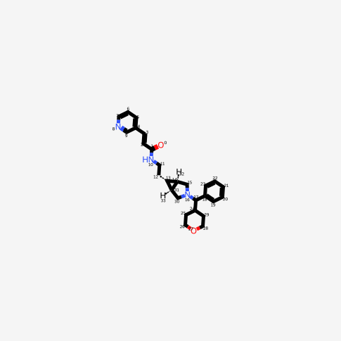 O=C(/C=C/c1cccnc1)NCC[C@@H]1[C@H]2CN(C(c3ccccc3)C3CCOCC3)C[C@@H]12